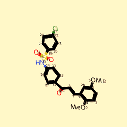 COc1ccc(OC)c(C=CC(=O)c2ccc(NS(=O)(=O)c3ccc(Cl)cc3)cc2)c1